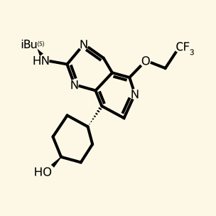 CC[C@H](C)Nc1ncc2c(OCC(F)(F)F)ncc([C@H]3CC[C@H](O)CC3)c2n1